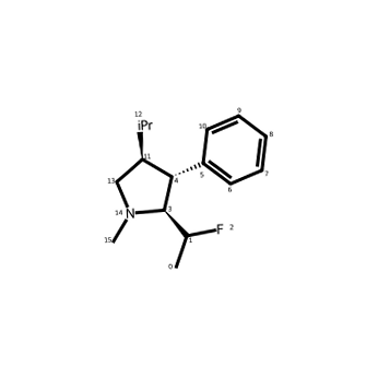 CC(F)[C@@H]1[C@@H](c2ccccc2)[C@H](C(C)C)CN1C